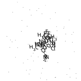 CC(C)(F)C[C@]1(c2ccc(-c3cnn(C4CC4)c3)cc2)NC(=N)N([C@H](COC(=O)NC(C)(C)C(F)(F)F)c2ccc(Cl)c(-c3ncnn3C(F)F)c2)C1=O